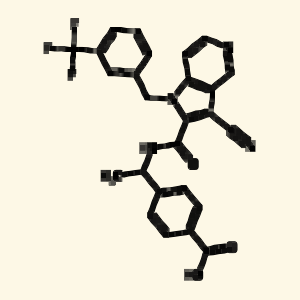 CC(NC(=O)c1c(C#N)c2cnccc2n1Cc1cccc(C(F)(F)F)c1)c1ccc(C(=O)O)cc1